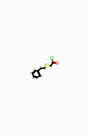 O=C(Cl)CSCCc1ccccc1